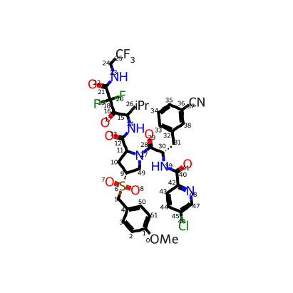 COc1ccc(CS(=O)(=O)[C@@H]2CC(C(=O)NC(C(=O)C(F)(F)C(=O)NCC(F)(F)F)C(C)C)N(C(=O)[C@H](Cc3cccc(C#N)c3)NC(=O)c3ccc(Cl)cn3)C2)cc1